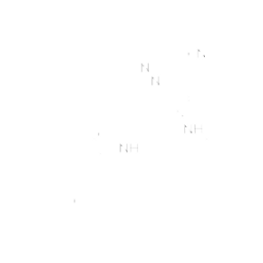 N#Cc1cnn(-c2ccc(NC(=O)Cc3ccccc3Cl)cc2[S+](N)[O-])c1